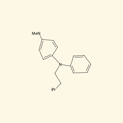 CNc1ccc(N(CCC(C)C)c2ccccc2)cc1